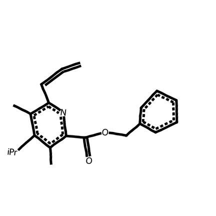 C=C=Cc1nc(C(=O)OCc2ccccc2)c(C)c(C(C)C)c1C